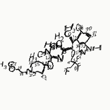 C=C(/C(OCC(F)(F)F)=C(C)/N=C(/OC1CCN(CCOC)CC1)N(C)C)c1c(C)ccc2[nH]ncc12